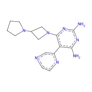 Nc1nc(N)c(-c2cnccn2)c(N2CC(N3CCCC3)C2)n1